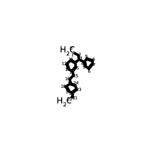 C=CCC(c1ccccc1)c1cccc(CCc2ccc(C=C)cc2)c1